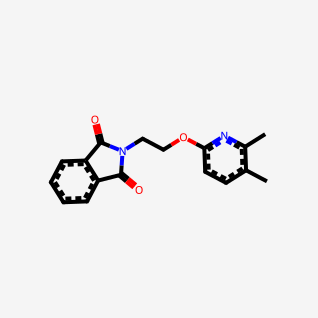 Cc1ccc(OCCN2C(=O)c3ccccc3C2=O)nc1C